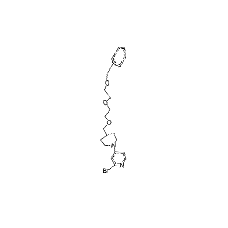 Brc1cc(N2CCC(COCCOCCOCc3ccccc3)CC2)ccn1